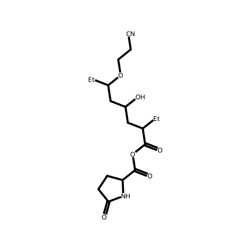 CCC(CC(O)CC(CC)C(=O)OC(=O)C1CCC(=O)N1)OCCC#N